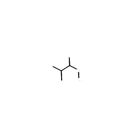 BC(NN)C(C)C